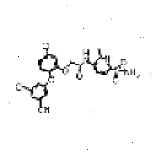 Cc1nc(S(N)(=O)=O)ccc1NC(=O)COc1cc(Cl)ccc1Oc1cc(Cl)cc(C#N)c1